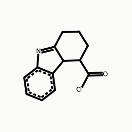 O=C(Cl)C1CCCC2=Nc3ccccc3C21